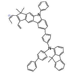 C=CC1=C(/C=C\C)C(C)(C)c2cc3c(cc21)c1cc(-c2ccc(N(c4ccc(-c5ccccc5)cc4)c4cccc5c4C(C)(C)c4ccccc4-5)cc2)ccc1n3-c1ccccc1